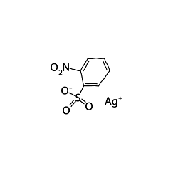 O=[N+]([O-])c1ccccc1S(=O)(=O)[O-].[Ag+]